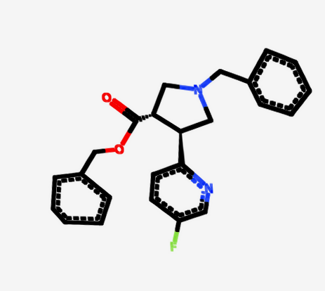 O=C(OCc1ccccc1)[C@@H]1CN(Cc2ccccc2)C[C@H]1c1ccc(F)cn1